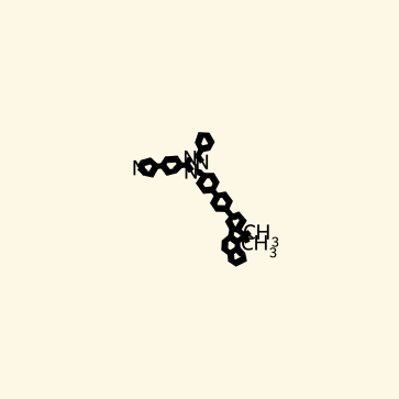 CC1(C)c2ccc(-c3ccc(-c4ccc(-c5nc(-c6ccccc6)nc(-c6ccc(-c7ccncc7)cc6)n5)cc4)cc3)cc2-c2ccc3ccccc3c21